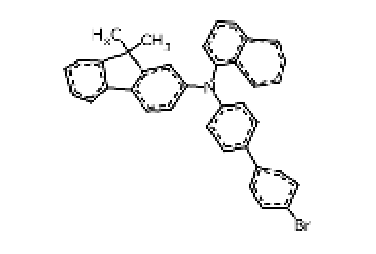 CC1(C)c2ccccc2-c2ccc(N(c3ccc(-c4ccc(Br)cc4)cc3)c3cccc4ccccc34)cc21